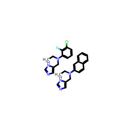 CCN(Cc1cnc[nH]1)c1ccc2ccccc2c1.CCN(Cc1cnc[nH]1)c1cccc(Cl)c1F